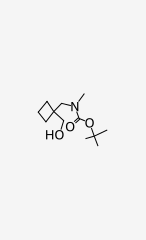 CN(CC1(CO)CCC1)C(=O)OC(C)(C)C